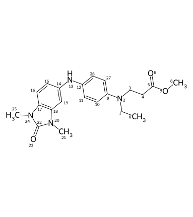 CCN(CCC(=O)OC)c1ccc(Nc2ccc3c(c2)n(C)c(=O)n3C)cc1